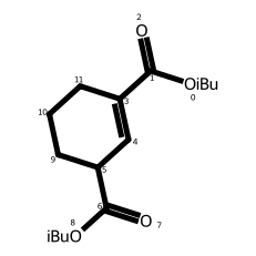 CC(C)COC(=O)C1=CC(C(=O)OCC(C)C)CCC1